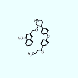 CCCC(=O)c1ccc(Oc2ccc(C3CCNCC3OCc3cc(O)c4ccccc4c3)cc2)cc1